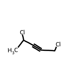 CC(Cl)C#CCCl